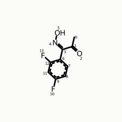 CC(=O)C(=NO)c1ccc(F)cc1F